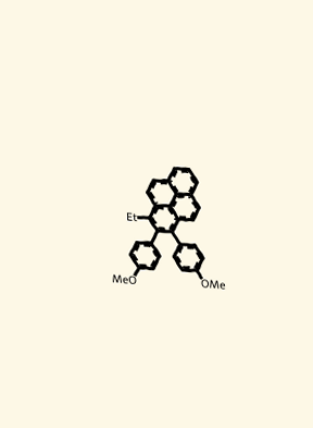 [CH2]Cc1c(-c2ccc(OC)cc2)c(-c2ccc(OC)cc2)c2ccc3cccc4ccc1c2c43